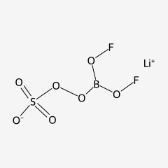 O=S(=O)([O-])OOB(OF)OF.[Li+]